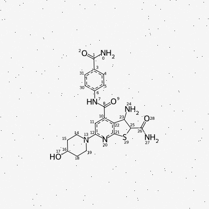 NC(=O)c1ccc(NC(=O)c2cc(N3CCC(O)CC3)nc3c2C(N)C(C(N)=O)S3)cc1